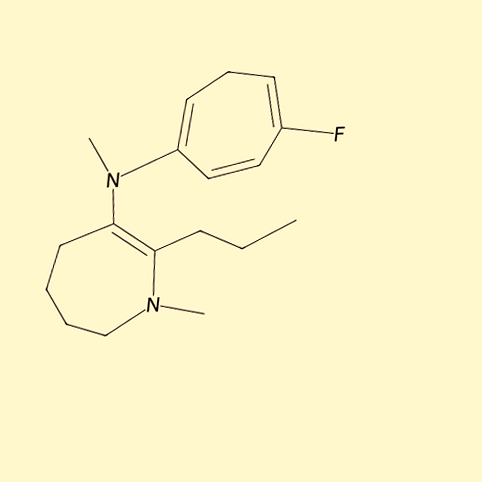 CCCC1=C(N(C)C2=CCC=C(F)C=C2)CCCCN1C